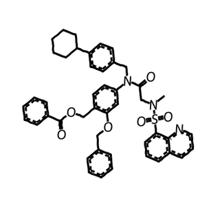 CN(CC(=O)N(Cc1ccc(C2CCCCC2)cc1)c1ccc(COC(=O)c2ccccc2)c(OCc2ccccc2)c1)S(=O)(=O)c1cccc2cccnc12